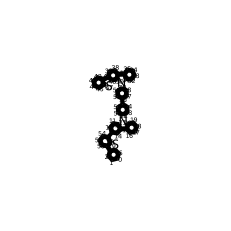 c1ccc2c(c1)sc1c(-c3ccc4c(c3)c3ccccc3n4-c3ccc(-c4ccc(-n5c6ccccc6c6ccc7c8ccccc8sc7c65)cc4)cc3)cccc12